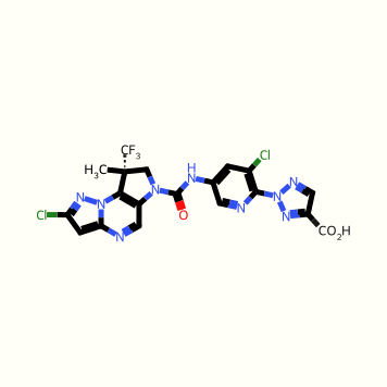 C[C@@]1(C(F)(F)F)CN(C(=O)Nc2cnc(-n3ncc(C(=O)O)n3)c(Cl)c2)c2cnc3cc(Cl)nn3c21